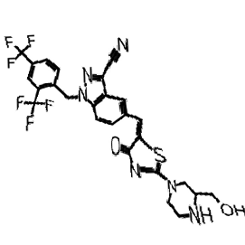 N#Cc1nn(Cc2ccc(C(F)(F)F)cc2C(F)(F)F)c2ccc(/C=C3/SC(N4CCNC(CO)C4)=NC3=O)cc12